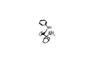 NC1(C(=O)Nc2ccccc2)CC2CCC1C2